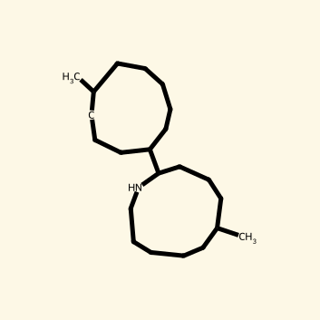 CC1CCCCCC(C2CCCC(C)CCCCCN2)CCC1